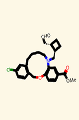 COC(=O)c1ccc2c(c1)N(C[C@@H]1CC[C@H]1CC=O)CCCCc1cc(Cl)ccc1CO2